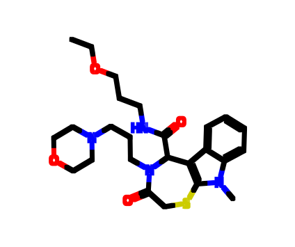 CCOCCCNC(=O)C1c2c(n(C)c3ccccc23)SCC(=O)N1CCCN1CCOCC1